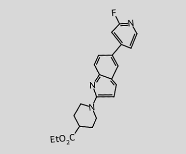 CCOC(=O)C1CCN(c2ccc3cc(-c4ccnc(F)c4)ccc3n2)CC1